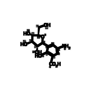 Nc1cc(C(=O)O)c(O)c(C2O[C@H](CO)[C@@H](O)[C@H](O)[C@H]2O)c1